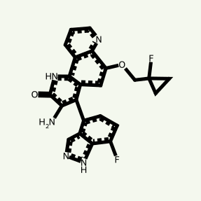 Nc1c(-c2ccc(F)c3[nH]ncc23)c2cc(OCC3(F)CC3)c3ncccc3c2[nH]c1=O